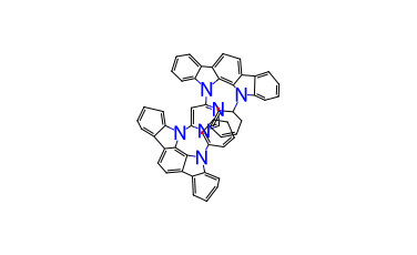 C1=CCC(n2c3ccccc3c3ccc4c5ccccc5n(-c5cc(-n6c7ccccc7c7ccc8c9ccccc9n(C9=CCCC=C9)c8c76)ncn5)c4c32)C=C1